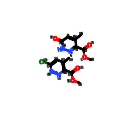 COC(=O)c1n[nH]c(=O)cc1C.COC(=O)c1nnc(Cl)cc1C